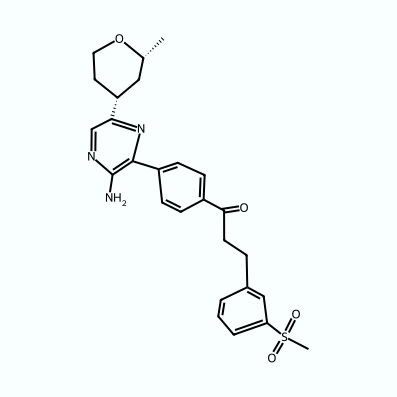 C[C@@H]1C[C@H](c2cnc(N)c(-c3ccc(C(=O)CCc4cccc(S(C)(=O)=O)c4)cc3)n2)CCO1